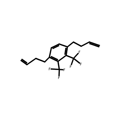 C=CCCc1ccc(CCC=C)c(C(F)(F)F)c1C(F)(F)F